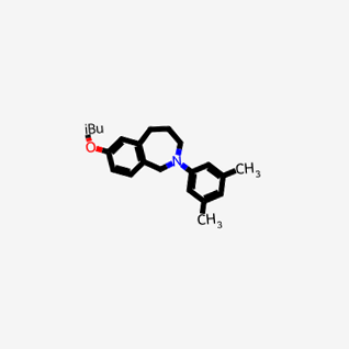 CCC(C)Oc1ccc2c(c1)CCCN(c1cc(C)cc(C)c1)C2